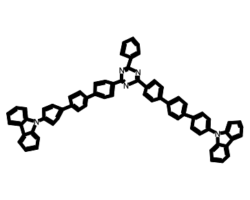 c1ccc(-c2nc(-c3ccc(-c4ccc(-c5ccc(-n6c7ccccc7c7ccccc76)cc5)cc4)cc3)nc(-c3ccc(-c4ccc(-c5ccc(-n6c7ccccc7c7ccccc76)cc5)cc4)cc3)n2)cc1